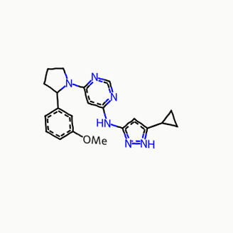 COc1cccc(C2CCCN2c2cc(Nc3cc(C4CC4)[nH]n3)ncn2)c1